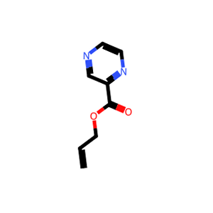 C=CCOC(=O)c1cnccn1